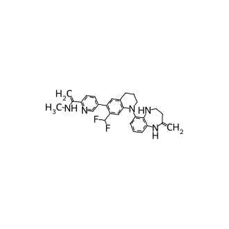 C=C1CCNc2c(cccc2N2CCCc3cc(-c4ccc(C(=C)NC)nc4)c(C(F)F)cc32)N1